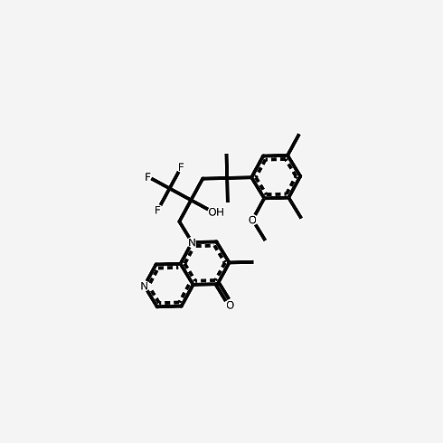 COc1c(C)cc(C)cc1C(C)(C)CC(O)(Cn1cc(C)c(=O)c2ccncc21)C(F)(F)F